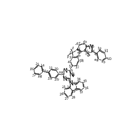 CC1(C)c2cc(-c3nc(-c4ccc(-c5ccccc5)cc4)nc(-n4c5ccccc5c5ccccc54)n3)ccc2-c2c1ccc1nc(-c3ccccc3)sc21